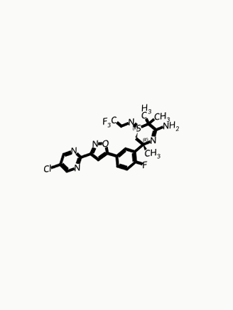 CC1(C)C(N)=N[C@](C)(c2cc(-c3cc(-c4ncc(Cl)cn4)no3)ccc2F)C[S@@]1=NCC(F)(F)F